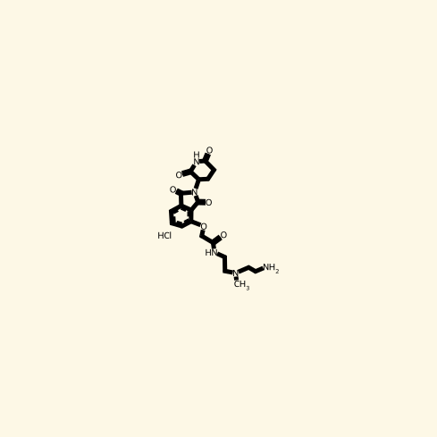 CN(CCN)CCNC(=O)COc1cccc2c1C(=O)N(C1CCC(=O)NC1=O)C2=O.Cl